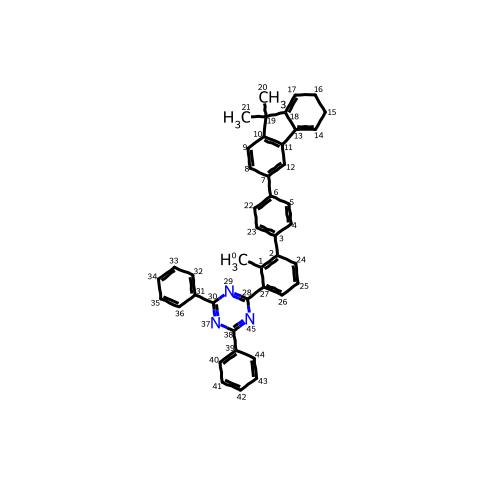 Cc1c(-c2ccc(-c3ccc4c(c3)C3=CCCC=C3C4(C)C)cc2)cccc1-c1nc(-c2ccccc2)nc(-c2ccccc2)n1